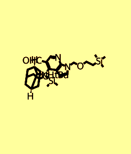 CC(C)(C)[Si](C)(C)OC12CC3C[C@H](C1)C(Nc1c(C=O)cnc4c1ccn4COCC[Si](C)(C)C)[C@@H](C3)C2